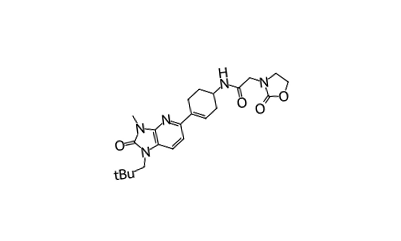 Cn1c(=O)n(CC(C)(C)C)c2ccc(C3=CCC(NC(=O)CN4CCOC4=O)CC3)nc21